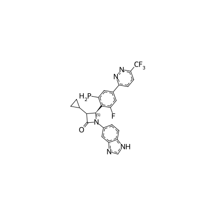 O=C1C(C2CC2)[C@@H](c2c(F)cc(-c3ccc(C(F)(F)F)nn3)cc2P)N1c1ccc2[nH]cnc2c1